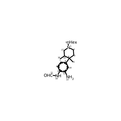 CCCCCCN1CCC(C)(c2ccc(NC=O)c(N)c2)C(C)C1